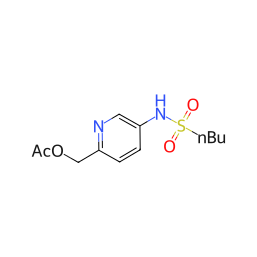 CCCCS(=O)(=O)Nc1ccc(COC(C)=O)nc1